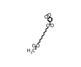 CCC(=O)OCCCCCCCCCCOC(=O)c1ccc2c(c1)OCO2